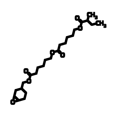 CCC(C)C(=O)OCCCCCC(=O)OCCCCCC(=O)OCC1CCC2OC2C1